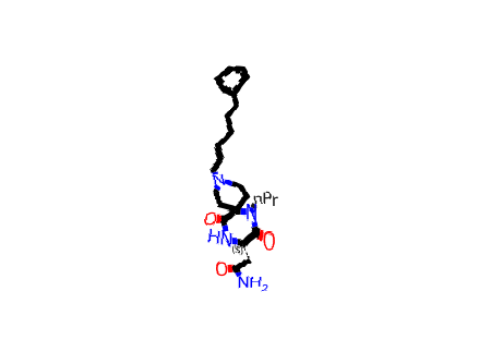 CCCN1C(=O)[C@H](CC(N)=O)NC(=O)C12CCN(CCCCCCc1ccccc1)CC2